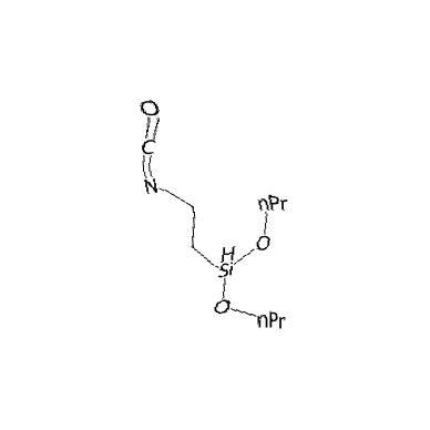 CCCO[SiH](CCN=C=O)OCCC